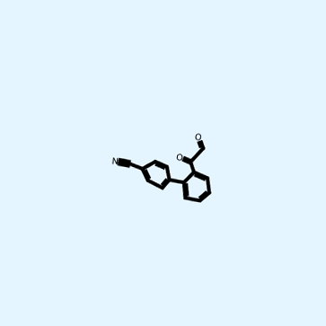 N#Cc1ccc(-c2ccccc2C(=O)C=O)cc1